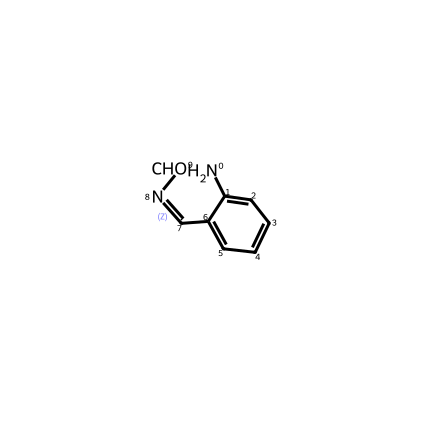 Nc1ccccc1/[C]=N\C=O